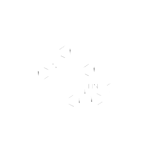 CCc1cccc(N(CCCOc2ccc(CC(Nc3ccccc3C(=O)c3ccccc3)C(=O)OC)cc2)Cc2ccccc2)c1